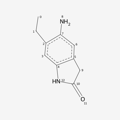 CCc1cc2c(cc1N)CC(=O)N2